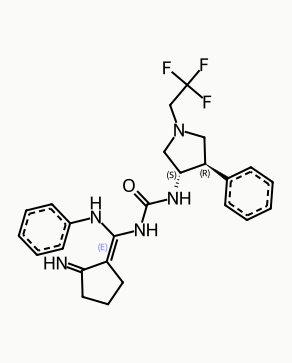 N=C1CCC/C1=C(\NC(=O)N[C@@H]1CN(CC(F)(F)F)C[C@H]1c1ccccc1)Nc1ccccc1